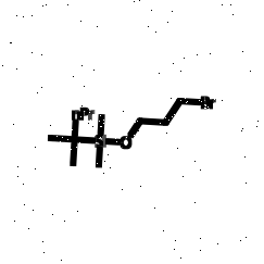 CCCC(C)(C)[Si](C)(C)OCCCBr